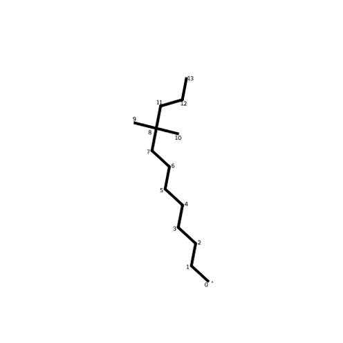 [CH2]CCCCCCCC(C)(C)CCC